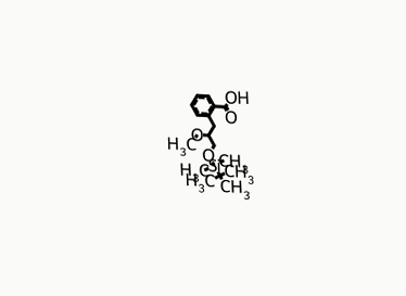 COC(CO[Si](C)(C)C(C)(C)C)Cc1ccccc1C(=O)O